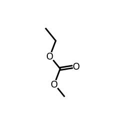 CCOC(=O)OC